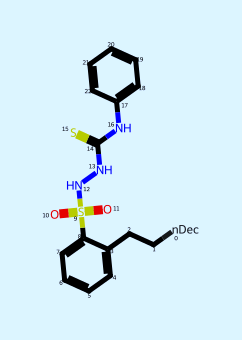 CCCCCCCCCCCCc1ccccc1S(=O)(=O)NNC(=S)Nc1ccccc1